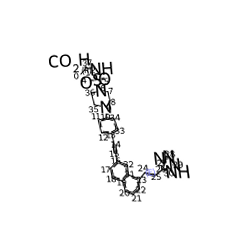 C[C@@H](NS(=O)(=O)N1CCN(c2ccc(C#Cc3ccc4cccc(/C=C/c5nnn[nH]5)c4c3)cc2)CC1)C(=O)O